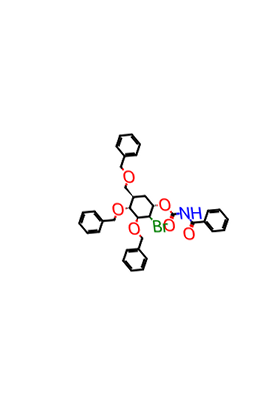 O=C(NC(=O)c1ccccc1)O[C@H]1C[C@H](COCc2ccccc2)[C@@H](OCc2ccccc2)[C@H](OCc2ccccc2)[C@@H]1Br